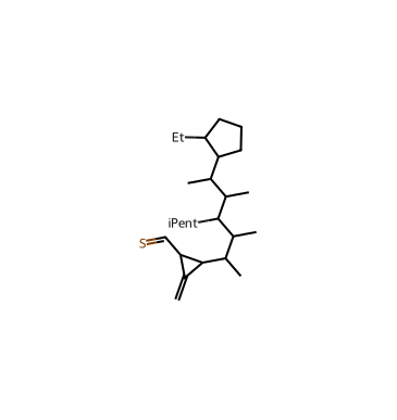 C=C1C(C=S)C1C(C)C(C)C(C(C)CCC)C(C)C(C)C1CCCC1CC